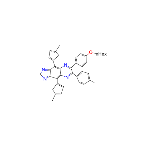 CCCCCCOc1ccc(-c2nc3c(C4=CC=C(C)C4)c4c(c(C5=CC=C(C)C5)c3nc2-c2ccc(C)cc2)=NCN=4)cc1